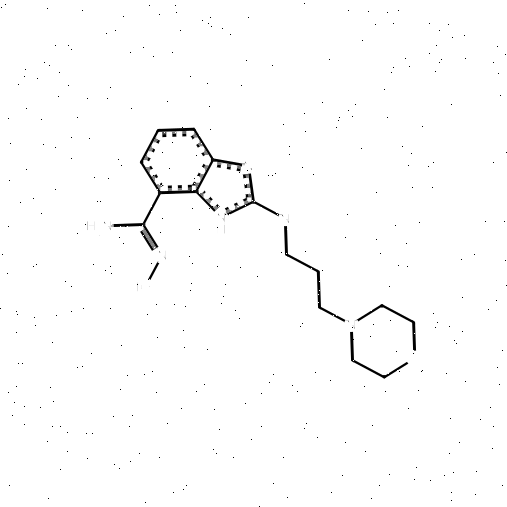 NC(=NO)c1cccc2nc(NCCCN3CCOCC3)[nH]c12